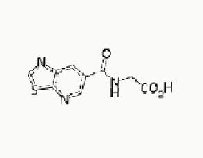 O=C(O)CNC(=O)c1cnc2scnc2c1